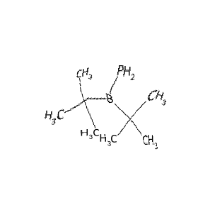 CC(C)(C)B(P)C(C)(C)C